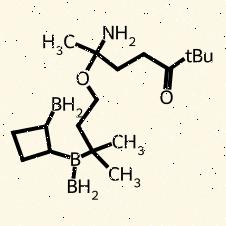 BB(C1CCC1B)C(C)(C)CCOC(C)(N)CCC(=O)C(C)(C)C